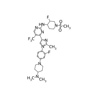 Cc1nc(-c2nc(NC3CCN(S(C)(=O)=O)CC3F)ncc2C(F)(F)F)cn1-c1ccc(N2CCC(N(C)C)CC2)cc1F